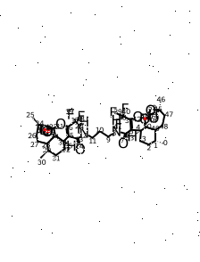 C[C@@H]1CC[C@H]2C(C(=O)NCCCNC(=O)C3=C(C(F)(F)F)O[C@@H]4O[C@]5(C)CCC6[C@H](C)CC[C@@H]3[C@]64OO5)=C(C(F)(F)F)O[C@@H]3O[C@]4(C)CCC1[C@]32OO4